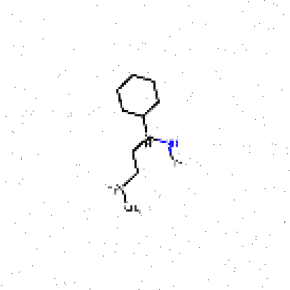 C[SiH2]CC[SiH](NC(C)C)C1CCCCC1